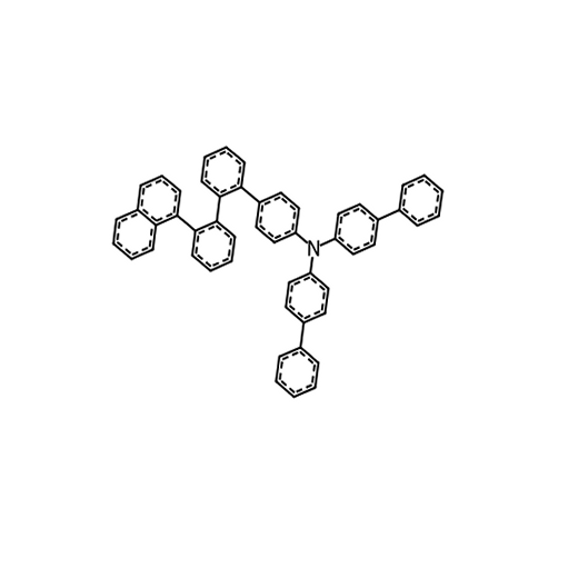 c1ccc(-c2ccc(N(c3ccc(-c4ccccc4)cc3)c3ccc(-c4ccccc4-c4ccccc4-c4cccc5ccccc45)cc3)cc2)cc1